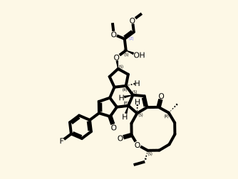 CC[C@H]1CCCC[C@@H](C)C(=O)C2=C[C@@H]3[C@@H](C4C(=O)C(c5ccc(F)cc5)=CC4C4C[C@@H](O[C@H](O)/C(=C/OC)OC)C[C@H]43)[C@@H]2CC(=O)O1